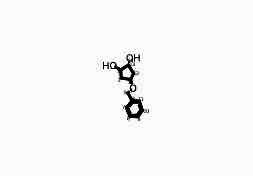 OC1CC(OCc2ccccc2)C[C@H]1O